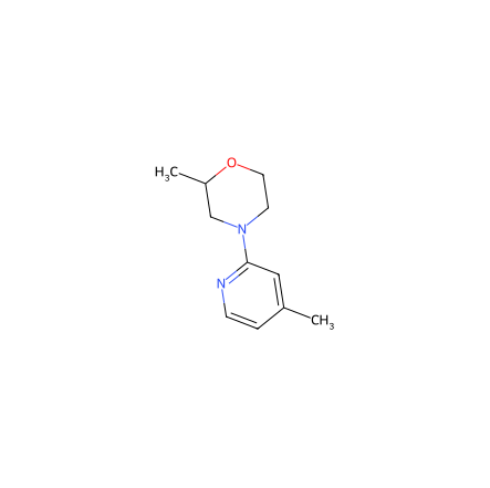 Cc1ccnc(N2CCOC(C)C2)c1